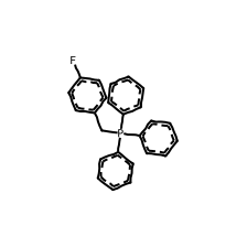 Fc1ccc(C[P](c2ccccc2)(c2ccccc2)c2ccccc2)cc1